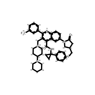 CC(C)CC1CC(=O)N(c2ccc3nc(-c4cccc(C(F)(F)F)c4)c(CN4CCC(N5CCCCC5)CC4)c(C(=O)NC4(c5ccccc5)CC4)c3c2)C1